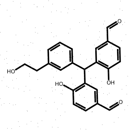 O=Cc1ccc(O)c(C(c2cccc(CCO)c2)c2cc(C=O)ccc2O)c1